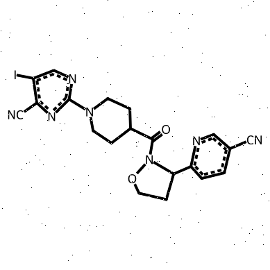 N#Cc1ccc(C2CCON2C(=O)C2CCN(c3ncc(I)c(C#N)n3)CC2)nc1